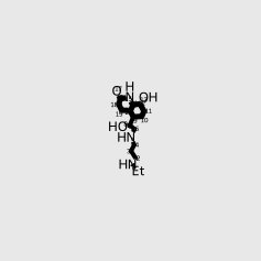 CCNCCCNCC(O)c1ccc(O)c2[nH]c(=O)ccc12